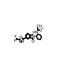 CCC(=O)N[C@@H]1CCCC[C@H]1N1Cc2ccc(-c3nnc(C(F)F)o3)cc2C1=O